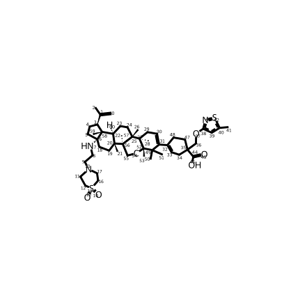 C=C(C)[C@@H]1CC[C@]2(NCCN3CCS(=O)(=O)CC3)CC[C@]3(C)[C@H](CC[C@]4(C)[C@@]5(C)CC=C(C6=CCC(COc7cc(C)sn7)(C(=O)O)CC6)C(C)(C)[C@]5(C)CC[C@]43C)[C@@]12C